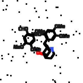 COc1cc(OC)c(OC)cc1C=C1C(=O)C2CCN1CC2.COc1cc(OC)c(OC)cc1C=O